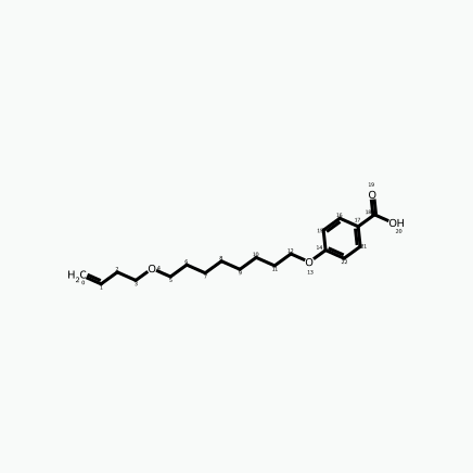 C=CCCOCCCCCCCCOc1ccc(C(=O)O)cc1